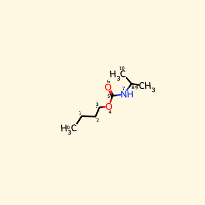 CCC[CH]OC(=O)NC(C)C